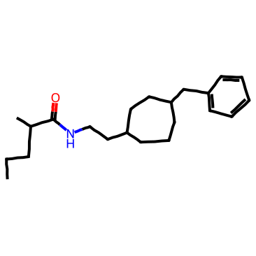 CCCC(C)C(=O)NCCC1CCCC(Cc2ccccc2)CC1